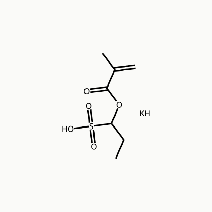 C=C(C)C(=O)OC(CC)S(=O)(=O)O.[KH]